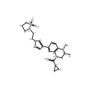 CC(=O)N1c2ccc(-c3cnn(CCN4CCCS4(=O)=O)c3)cc2N(C(=O)C2CC2)C[C@@H]1C